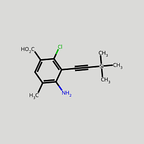 Cc1cc(C(=O)O)c(Cl)c(C#C[Si](C)(C)C)c1N